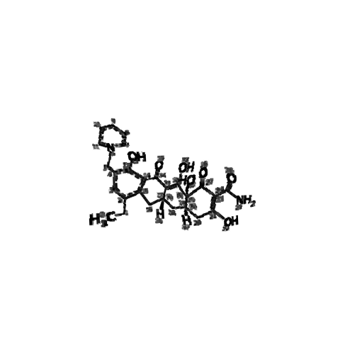 CCc1cc(C[n+]2ccccc2)c(O)c2c1C[C@H]1C[C@H]3CC(O)=C(C(N)=O)C(=O)[C@@]3(O)C(O)=C1C2=O